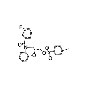 Cc1ccc(S(=O)(=O)OCC2CN(C(=O)c3cccc(F)c3)c3ccccc3O2)cc1